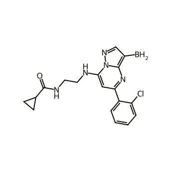 Bc1cnn2c(NCCNC(=O)C3CC3)cc(-c3ccccc3Cl)nc12